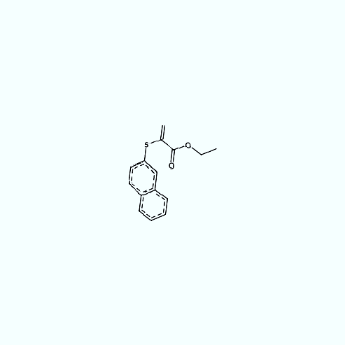 C=C(Sc1ccc2ccccc2c1)C(=O)OCC